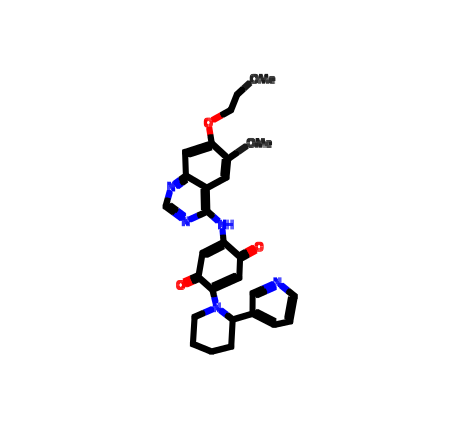 COCCOc1cc2ncnc(NC3=CC(=O)C(N4CCCCC4c4cccnc4)=CC3=O)c2cc1OC